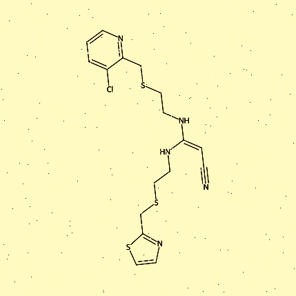 N#CC=C(NCCSCc1nccs1)NCCSCc1ncccc1Cl